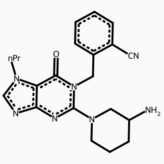 CCCn1cnc2nc(N3CCCC(N)C3)n(Cc3ccccc3C#N)c(=O)c21